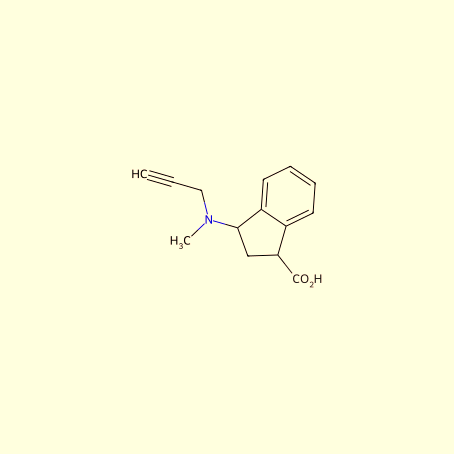 C#CCN(C)C1CC(C(=O)O)c2ccccc21